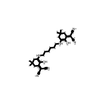 CC1(C)CC(NCCCCCCNC2=C(O)C(=C(C#N)C#N)CC(C)(C)C2)=C(O)C(=C(C#N)C#N)C1